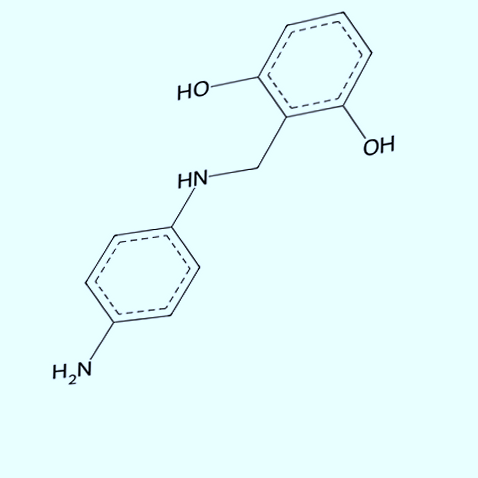 Nc1ccc(NCc2c(O)cccc2O)cc1